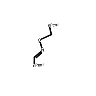 [CH2]CCCCC=NOCCCCCC